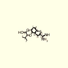 CC(C)C(Oc1cccc2sc(C(=N)N)cc12)C(=O)O